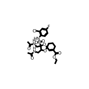 CCOC(=O)C1=CC2(CCC1)OC(CNC(C)=O)C(CNC(C)=O)(S(=O)(=O)Nc1ccc(F)cc1Cl)O2